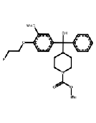 COc1cc(C(O)(c2ccccc2)C2CCN(C(=O)OC(C)(C)C)CC2)ccc1OCCF